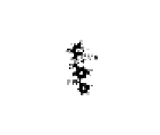 CCN(c1cc(Cl)cc(C(=O)NCc2c(OC)[nH]c(C)cc2=O)c1C)C1CCCCC1